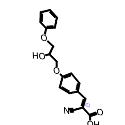 N#C/C(=C\c1ccc(OCC(O)COc2ccccc2)cc1)C(=O)O